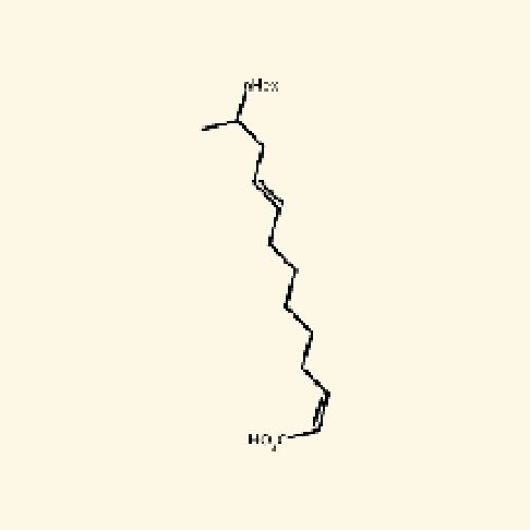 CCCCCCC(C)CC=CCCCCC/C=C\C(=O)O